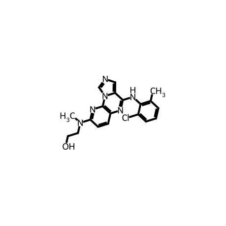 Cc1cccc(Cl)c1Nc1nc2ccc(N(C)CCO)nc2n2cncc12